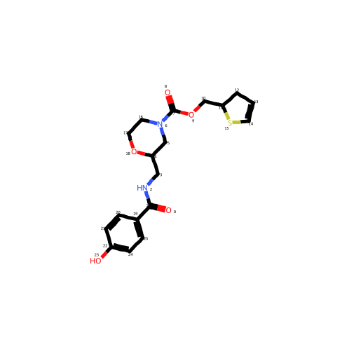 O=C(NCC1CN(C(=O)OCC2CC=CS2)CCO1)c1ccc(O)cc1